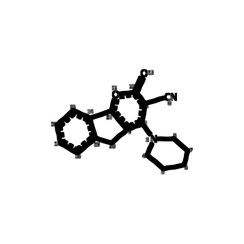 N#Cc1c(N2CCCCC2)c2c(oc1=O)-c1ccccc1C2